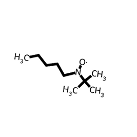 CCCCCN([O])C(C)(C)C